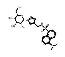 CN(C)c1cccc2c(S(=O)(=O)NCc3cn([C@@H]4O[C@H](CO)[C@@H](O)[C@H](O)[C@H]4O)nn3)cccc12